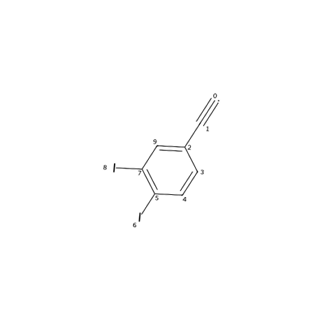 [C]#Cc1ccc(I)c(I)c1